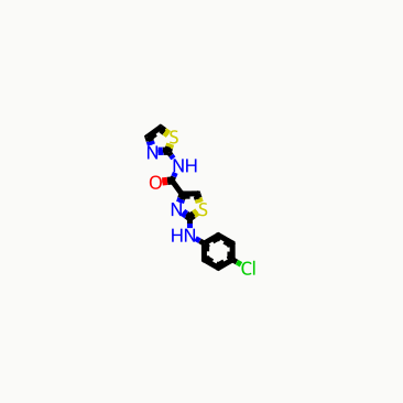 O=C(Nc1nccs1)c1csc(Nc2ccc(Cl)cc2)n1